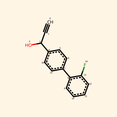 C#CC(O)c1ccc(-c2ccccc2F)cc1